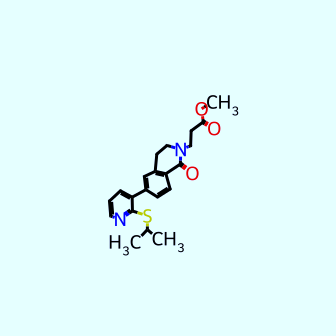 COC(=O)CCN1CCc2cc(-c3cccnc3SC(C)C)ccc2C1=O